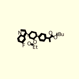 CCC(=O)OC1C[C@@H](c2ccnc3ccc(F)cc23)CC[C@H]1c1ccc(C(C)C(=O)OC(C)(C)C)cc1